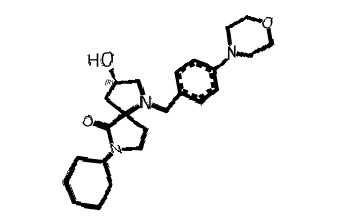 O=C1N(C2CCCCC2)CCC12C[C@@H](O)CN2Cc1ccc(N2CCOCC2)cc1